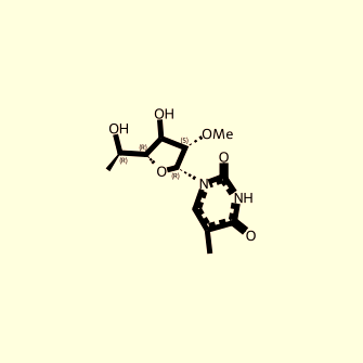 CO[C@H]1C(O)[C@@H]([C@@H](C)O)O[C@H]1n1cc(C)c(=O)[nH]c1=O